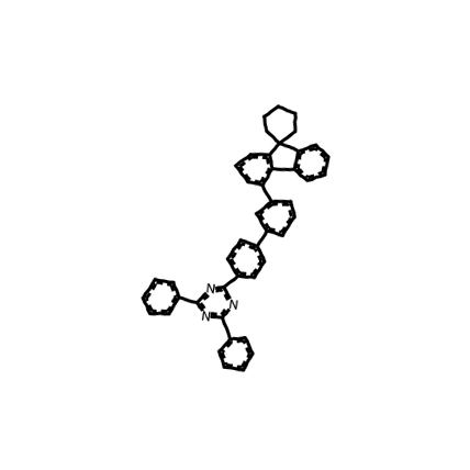 c1ccc(-c2nc(-c3ccccc3)nc(-c3ccc(-c4cccc(-c5cccc6c5-c5ccccc5C65CCCCC5)c4)cc3)n2)cc1